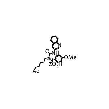 COc1ccc(N(C(=O)O)[C@@H](CCCCCC(C)=O)C(=O)Nc2cnc3ccccc3c2)cc1